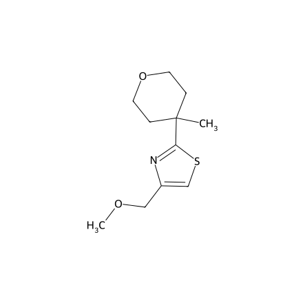 COCc1csc(C2(C)CCOCC2)n1